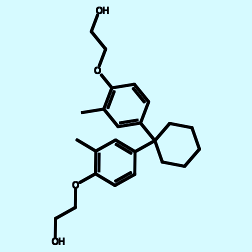 Cc1cc(C2(c3ccc(OCCO)c(C)c3)CCCCC2)ccc1OCCO